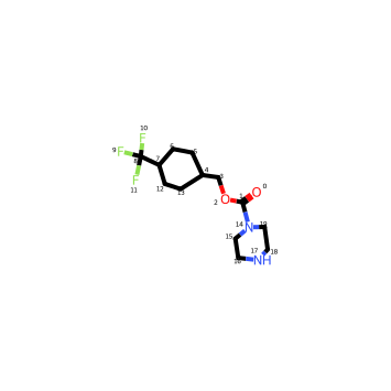 O=C(OCC1CCC(C(F)(F)F)CC1)N1CCNCC1